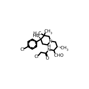 C[C@@H](CN1CC[C@](O)(c2ccc(Cl)cc2)C(C)(C)C1)C(C=O)NC(=O)CCl